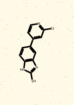 CCc1cc(-c2ccc3[nH]c(S)nc3c2)ccn1